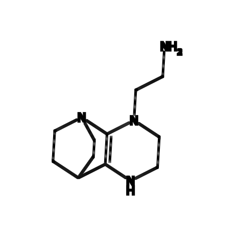 NCCN1CCNC2=C1N1CCC2CC1